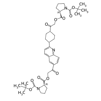 CC(C)(C)OC(=O)N1CCC[C@@H]1C(=O)OCC(=O)c1ccc2nc(C3CCC(C(=O)COC(=O)[C@H]4CCCN4C(=O)OC(C)(C)C)CC3)ccc2c1